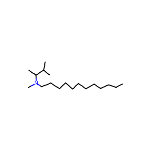 CCCCCCCCCCCCN(C)C(C)C(C)C